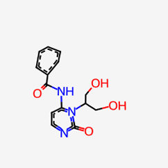 O=C(Nc1ccnc(=O)n1C(CO)CO)c1ccccc1